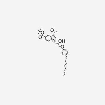 CCCCCCCCc1ccc(OCC(O)Cn2cc(C(C)=O)c3cc(C(=O)OC(C)(C)C)ccc32)cc1